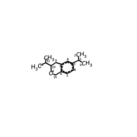 CC(C)c1ccc2c(c1)CC(C(C)C)OC2